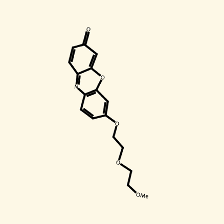 COCCOCCOc1ccc2nc3ccc(=O)cc-3oc2c1